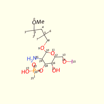 COC(C)(C)CC(C)(C)COC1OC(COI)C(O)C(OP(C)(=O)O)C1N